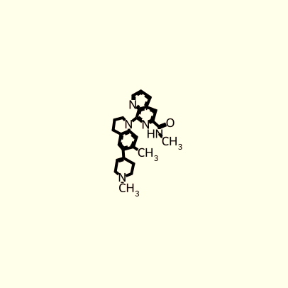 CNC(=O)c1cc2cccnc2c(N2CCCc3cc(C4=CCN(C)CC4)c(C)cc32)n1